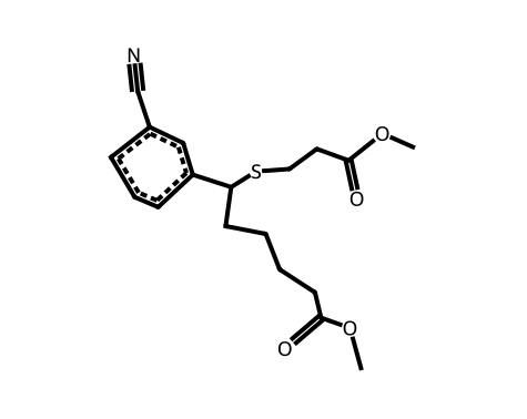 COC(=O)CCCCC(SCCC(=O)OC)c1cccc(C#N)c1